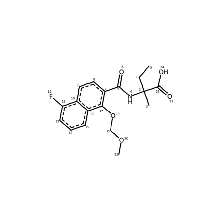 CCC(C)(NC(=O)c1ccc2c(F)cccc2c1OCOC)C(=O)O